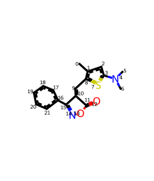 Cc1cc(N(C)C)sc1C=C1C(=O)ON=C1c1ccccc1